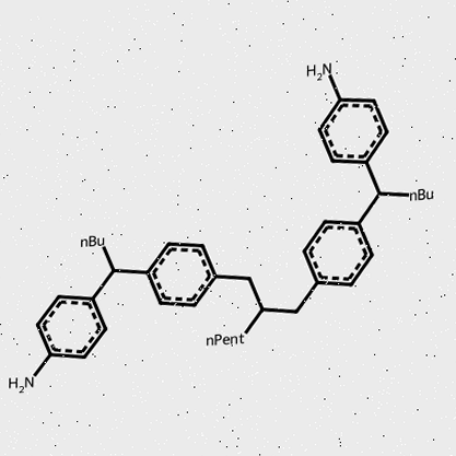 CCCCCC(Cc1ccc(C(CCCC)c2ccc(N)cc2)cc1)Cc1ccc(C(CCCC)c2ccc(N)cc2)cc1